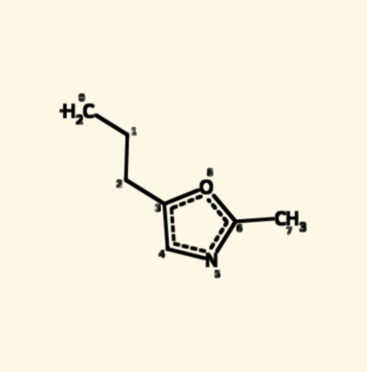 [CH2]CCc1cnc(C)o1